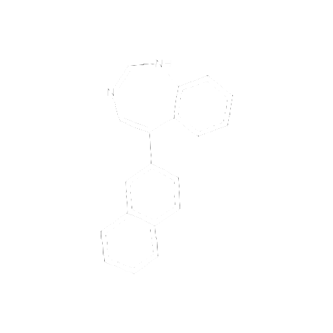 C1=NC=C(c2ccc3ccccc3c2)c2ccccc2N1